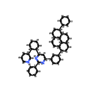 c1ccc(-c2nc(-c3cccc(-c4ccc5ccc6c(-c7ccccc7)ccc7ccc4c5c76)c3)cc(-c3ccccc3-c3cccnc3)n2)cc1